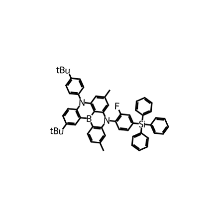 Cc1ccc2c(c1)N(c1ccc([Si](c3ccccc3)(c3ccccc3)c3ccccc3)cc1F)c1cc(C)cc3c1B2c1cc(C(C)(C)C)ccc1N3c1ccc(C(C)(C)C)cc1